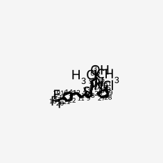 CC(C)(O)c1cc(-c2ccc(/C=C/c3ccc(C(F)(F)F)cc3)s2)n(-c2ccccc2Cl)n1